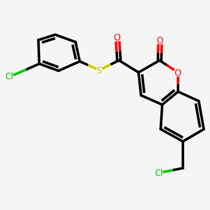 O=C(Sc1cccc(Cl)c1)c1cc2cc(CCl)ccc2oc1=O